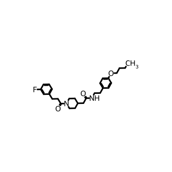 CCCCOc1ccc(CCNC(=O)CC2CCN(C(=O)CCc3cccc(F)c3)CC2)cc1